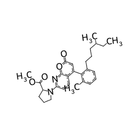 CCC(C)CCCc1cccc(C)c1-c1cc(=O)oc2nc(N3CCCC3C(=O)OC)ccc12